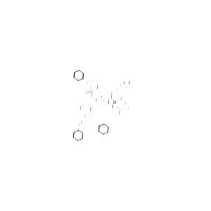 CO[C@H]1OC2COC(C)O[C@@H]2[C@H](O[C@@H]2OC3COC(c4ccccc4)O[C@@H]3[C@H](C)C2O[C@@H]2OC(C)[C@@H](C)[C@H](OCc3ccccc3)C2OCc2ccccc2)C1C